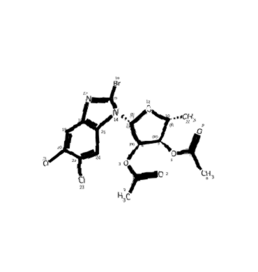 CC(=O)O[C@@H]1[C@H](OC(C)=O)[C@@H](C)O[C@H]1n1c(Br)nc2cc(Cl)c(Cl)cc21